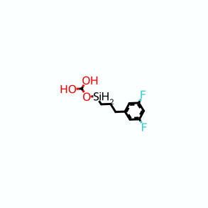 OC(O)O[SiH2]CCCc1cc(F)cc(F)c1